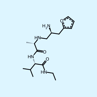 CCNC(=O)[C@@H](NC(=O)[C@H](C)NC[C@@H](N)Cc1ccco1)C(C)C